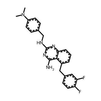 CN(C)c1ccc(CNc2nc(N)c3c(Cc4ccc(F)c(F)c4)cccc3n2)cc1